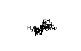 COC[C@H]1O[C@@H](n2cnc3c(F)cc(C)cc32)C[C@H]1O[P@](C)(=O)O